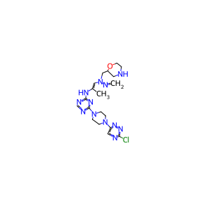 C=NN(/C=C(\C)Nc1ncnc(N2CCN(c3cnc(Cl)nn3)CC2)n1)CC1CNCCO1